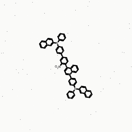 O=[N+]([O-])c1cc(-c2ccc(N(c3ccccc3)c3ccc4ccccc4c3)cc2)ccc1-c1ccc(-c2ccc(N(c3ccccc3)c3ccc4ccccc4c3)cc2)c2ccccc12